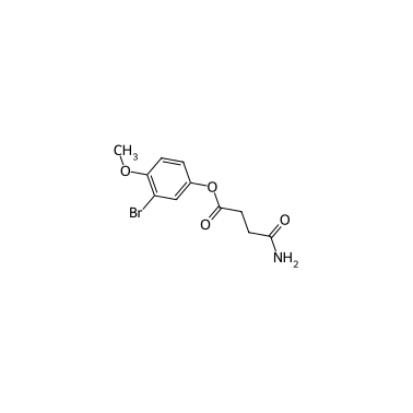 COc1ccc(OC(=O)CCC(N)=O)cc1Br